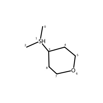 C[SH](C)C1CCOCC1